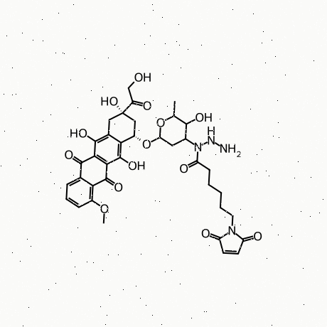 COc1cccc2c1C(=O)c1c(O)c3c(c(O)c1C2=O)C[C@@](O)(C(=O)CO)C[C@@H]3OC1CC(N(NN)C(=O)CCCCCN2C(=O)C=CC2=O)C(O)C(C)O1